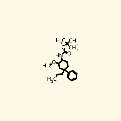 CCCC1(c2ccccc2)CCC(NC(=O)OC(C)(C)C)C(OC)C1